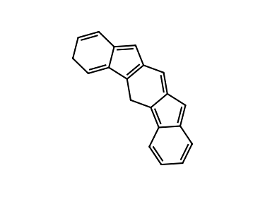 C1=CC2=CC3=C(CC4=c5ccccc5=CC4=C3)C2=CC1